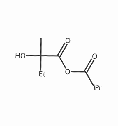 CCC(C)(O)C(=O)OC(=O)C(C)C